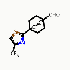 O=CC12CCC(c3nc(C(F)(F)F)cs3)(CC1)CC2